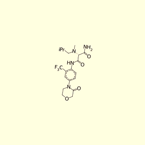 CC(C)CN(C)[C@H](C(N)=O)C(=O)Nc1ccc(N2CCOCC2=O)cc1C(F)(F)F